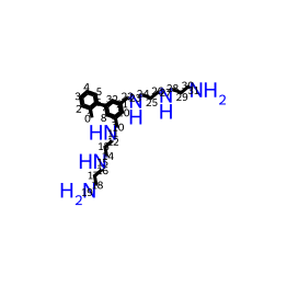 Cc1ccccc1-c1cc(CNCCCNCCCN)cc(CNCCCNCCCN)c1